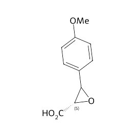 COc1ccc(C2O[C@@H]2C(=O)O)cc1